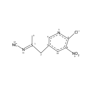 C/S(Cc1cnc(Cl)c([N+](=O)[O-])c1)=N\C#N